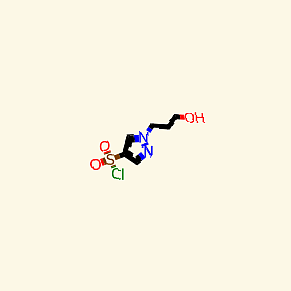 O=S(=O)(Cl)c1cnn(CCCO)c1